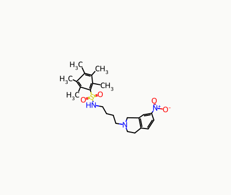 Cc1c(C)c(C)c(S(=O)(=O)NCCCCN2CCc3ccc([N+](=O)[O-])cc3C2)c(C)c1C